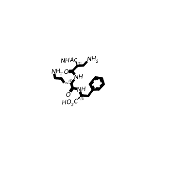 CC(=O)N[C@@H](CN)C(=O)N[C@@H](CCCN)C(=O)N[C@@H](Cc1ccccc1)C(=O)O